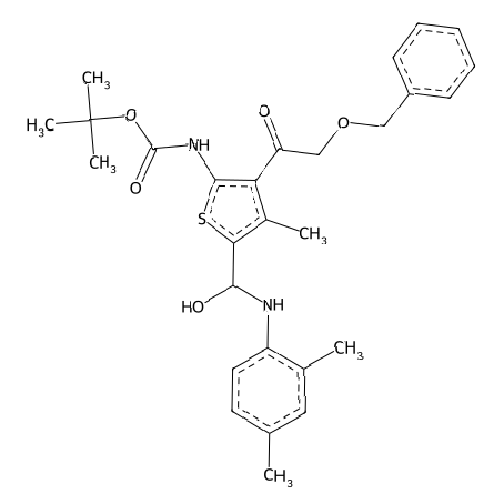 Cc1ccc(NC(O)c2sc(NC(=O)OC(C)(C)C)c(C(=O)COCc3ccccc3)c2C)c(C)c1